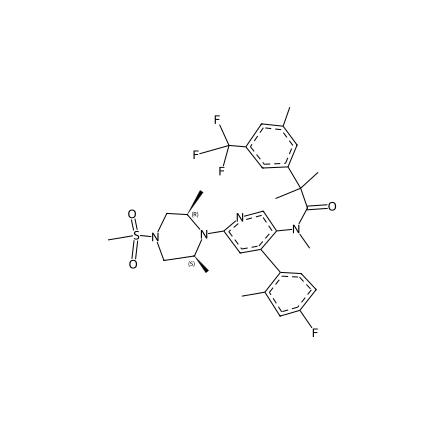 Cc1cc(C(F)(F)F)cc(C(C)(C)C(=O)N(C)c2cnc(N3[C@H](C)CN(S(C)(=O)=O)C[C@@H]3C)cc2-c2ccc(F)cc2C)c1